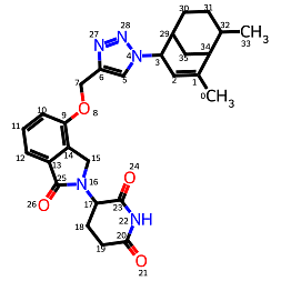 CC1=CC(n2cc(COc3cccc4c3CN(C3CCC(=O)NC3=O)C4=O)nn2)C2CCC(C)C1C2